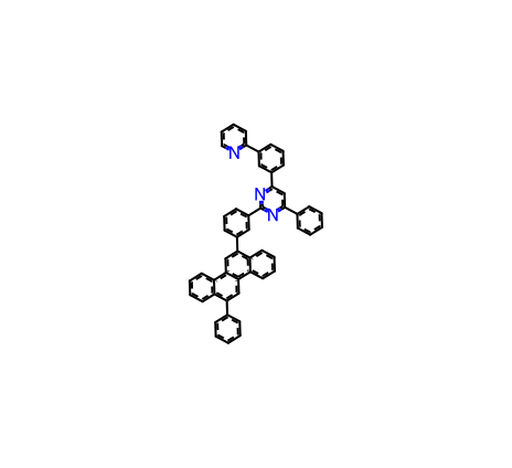 c1ccc(-c2cc(-c3cccc(-c4ccccn4)c3)nc(-c3cccc(-c4cc5c6ccccc6c(-c6ccccc6)cc5c5ccccc45)c3)n2)cc1